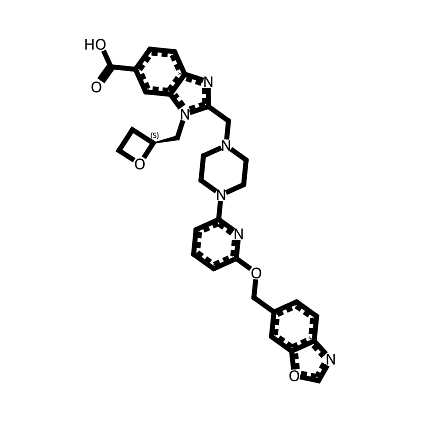 O=C(O)c1ccc2nc(CN3CCN(c4cccc(OCc5ccc6ncoc6c5)n4)CC3)n(C[C@@H]3CCO3)c2c1